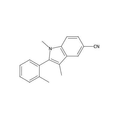 Cc1ccccc1-c1c(C)c2cc(C#N)ccc2n1C